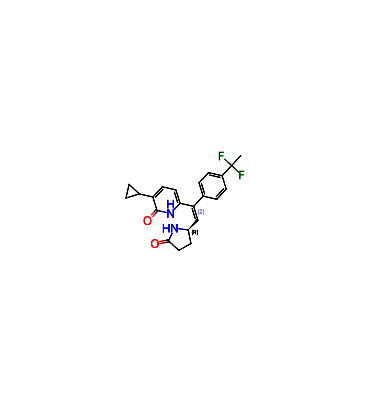 CC(F)(F)c1ccc(/C(=C/[C@H]2CCC(=O)N2)c2ccc(C3CC3)c(=O)[nH]2)cc1